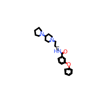 O=C(NCCCN1CCC(N2CCCCC2)CC1)c1cccc(Oc2ccccc2)c1